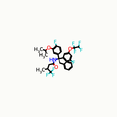 CC(C)Oc1cc([C@@](Cc2ccccc2)(NC(=O)CC(C)C(F)(F)F)c2cc(F)cc(OC(F)(F)C(F)F)c2)ccc1F